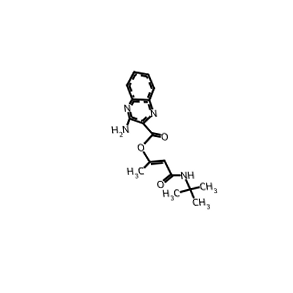 CC(=CC(=O)NC(C)(C)C)OC(=O)c1nc2ccccc2nc1N